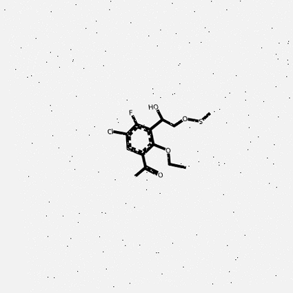 CCOc1c(C(C)=O)cc(Cl)c(F)c1C(O)COSC